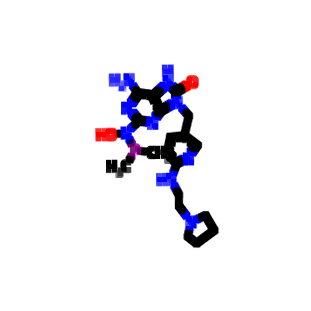 CP(C)N(O)c1nc(N)c2[nH]c(=O)n(Cc3ccc(NCCN4CCCC4)nc3)c2n1